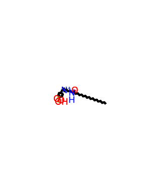 CCCCCCCCCCCCCCCCCC(=O)NCCC[N+](C)(C)Cc1ccc(S(=O)(=O)O)cc1